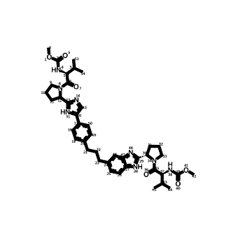 COC(=O)N[C@H](C(=O)N1CCCC1c1ncc(-c2ccc(CCCc3ccc4[nH]c([C@@H]5CCCN5C(=O)[C@@H](NC(=O)OC)C(C)C)nc4c3)cc2)[nH]1)C(C)C